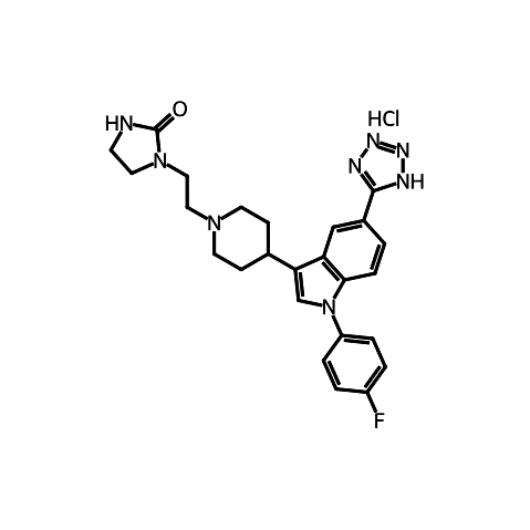 Cl.O=C1NCCN1CCN1CCC(c2cn(-c3ccc(F)cc3)c3ccc(-c4nnn[nH]4)cc23)CC1